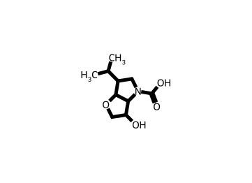 CC(C)C1CN(C(=O)O)C2C(O)COC12